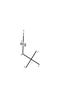 CC(C)(C)[CH2][Mg][I]